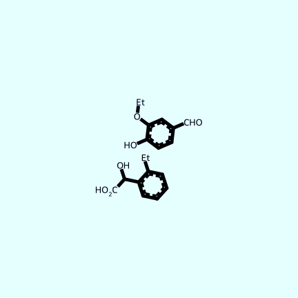 CCOc1cc(C=O)ccc1O.CCc1ccccc1C(O)C(=O)O